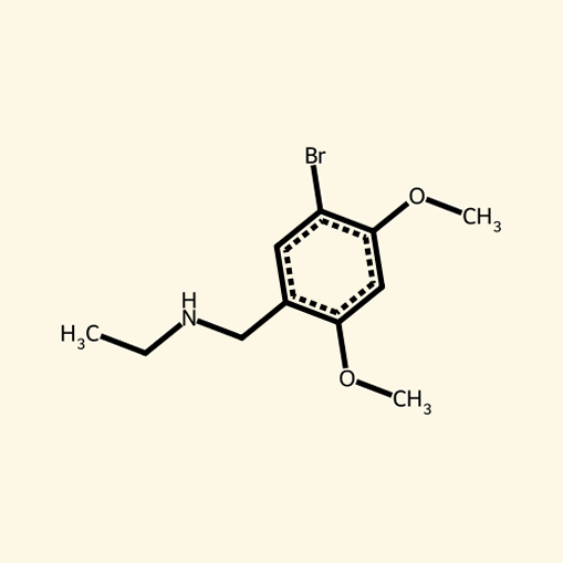 CCNCc1cc(Br)c(OC)cc1OC